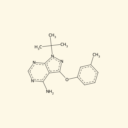 Cc1cccc(Oc2nn(C(C)(C)C)c3ncnc(N)c23)c1